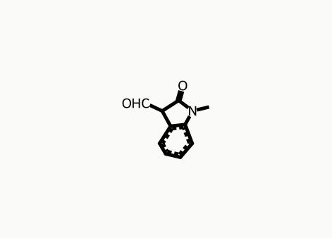 CN1C(=O)C(C=O)c2ccccc21